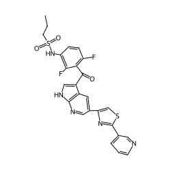 CCCS(=O)(=O)Nc1ccc(F)c(C(=O)c2c[nH]c3ncc(-c4csc(-c5cccnc5)n4)cc23)c1F